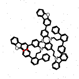 c1ccc(-c2cccc(-c3ccccc3)c2CCN2c3cc(-c4ccc5oc6ccccc6c5c4)ccc3B3c4ccc(-c5ccc6oc7ccccc7c6c5)cc4N(CCc4c(-c5ccccc5)cccc4-c4ccccc4)c4cc(CCn5c6ccccc6c6ccccc65)cc2c43)cc1